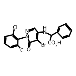 O=C(O)C(Nc1cnn(-c2c(Cl)cccc2Cl)c(=O)c1Br)c1ccccc1